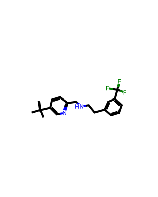 CC(C)(C)c1ccc(CNCCc2cccc(C(F)(F)F)c2)nc1